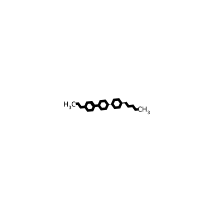 CCCCC[C@H]1CC[C@H](C2CCC(C3=CCC(CCC)CC3)CC2)CC1